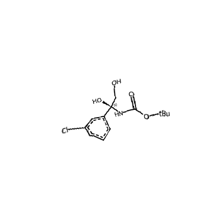 CC(C)(C)OC(=O)N[C@@](O)(CO)c1cccc(Cl)c1